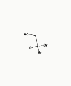 CC(=O)CC(Br)(Br)Br